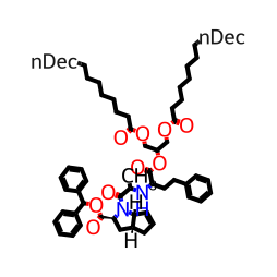 CCCCCCCCCCCCCCCCCC(=O)OCC(COC(=O)CCCCCCCCCCCCCCCCC)OC(=O)C(CCc1ccccc1)NC(C)C(=O)N1[C@@H]2C=CC[C@H]2C[C@H]1C(=O)OC(c1ccccc1)c1ccccc1